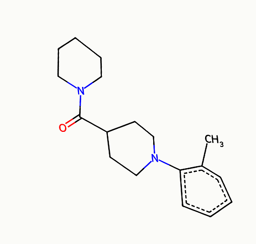 Cc1ccccc1N1CCC(C(=O)N2CCCCC2)CC1